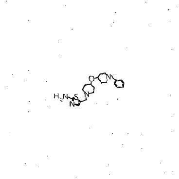 Nc1ncc(CN2CCC(OC3CCN(Cc4ccccc4)CC3)CC2)s1